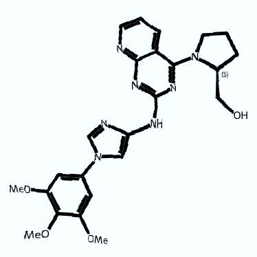 COc1cc(-n2cnc(Nc3nc(N4CCC[C@H]4CO)c4cccnc4n3)c2)cc(OC)c1OC